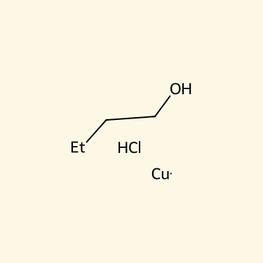 CCCCO.Cl.[Cu]